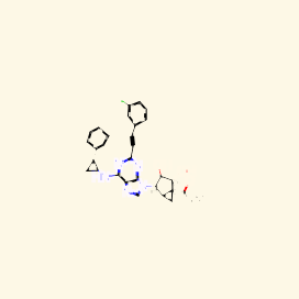 CNC(=O)[C@]12CC1[C@@H](n1cnc3c(NC4C[C@H]4c4ccccc4)nc(C#Cc4cccc(Cl)c4)nc31)C(O)[C@@H]2O